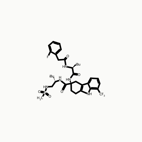 CCC(C)[C@H](NC(=O)Cc1ccccc1F)C(=O)N[C@]1(C(=O)N[C@H](CNS(C)(=O)=O)C(C)CC)CCc2[nH]c3c(C(F)(F)F)cccc3c2C1